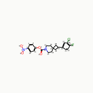 O=C(Oc1ccc([N+](=O)[O-])cc1)N1CCC2(CC1)CC(c1ccc(F)c(Cl)c1)C2